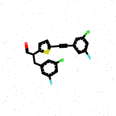 O=CC(Cc1cc(F)cc(Cl)c1)c1ccc(C#Cc2cc(F)cc(Cl)c2)s1